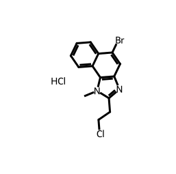 Cl.Cn1c(CCCl)nc2cc(Br)c3ccccc3c21